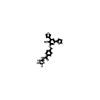 N#Cc1c(-c2ccoc2)cc(C2=CCCS2)nc1OCc1ccc(C(=O)NC2=NNNN2)cc1